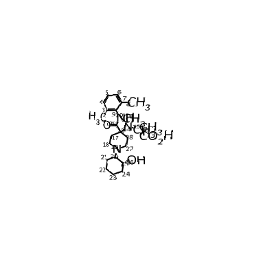 CC(=O)O.Cc1cccc(C)c1NC(=O)C1(N(C)C)CCN([C@@H]2CCCC[C@H]2O)CC1